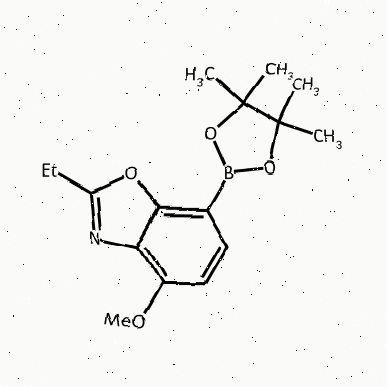 CCc1nc2c(OC)ccc(B3OC(C)(C)C(C)(C)O3)c2o1